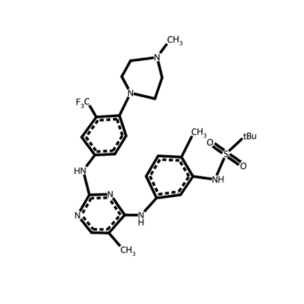 Cc1ccc(Nc2nc(Nc3ccc(N4CCN(C)CC4)c(C(F)(F)F)c3)ncc2C)cc1NS(=O)(=O)C(C)(C)C